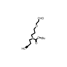 C#CCCN(CCCOCCC=O)C(=O)OC(C)(C)C